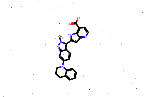 Cn1nc2cc(N3CCCc4ccccc43)ccc2c1-c1cc2nccc(C(=O)O)c2[nH]1